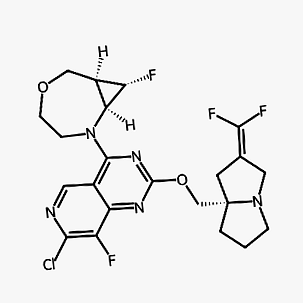 FC(F)=C1CN2CCC[C@@]2(COc2nc(N3CCOC[C@H]4[C@H](F)[C@H]43)c3cnc(Cl)c(F)c3n2)C1